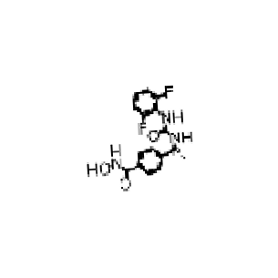 C[C@@H](NC(=O)Nc1c(F)cccc1F)c1ccc(C(=O)NO)cc1